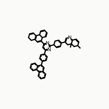 CC1C=CC2=NC=C(C3=CCC(c4nc(C5=CC6=C(C=CCC6)C6C=CC=CC56)cc(-c5ccc(-c6cc7ccccc7c7ccccc67)cc5)n4)C=C3)CC2(C)C1